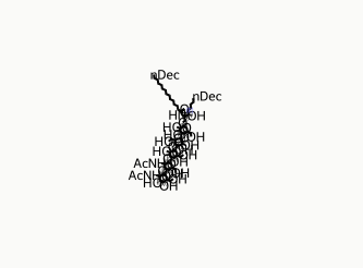 CCCCCCCCCCCCC/C=C/[C@@H](O)[C@H](CO[C@@H]1OC(CO)[C@@H](O[C@@H]2OC(CO)[C@H](O[C@@H]3OC(CO)[C@H](O)[C@H](O[C@@H]4OC(CO)[C@H](O)[C@H](O[C@@H]5OC(CO)[C@H](O)[C@H](O)C5NC(C)=O)C4NC(C)=O)C3O)[C@H](O)C2O)[C@H](O)C1O)NC(=O)CCCCCCCCCCCCCCCCCCCCCCC